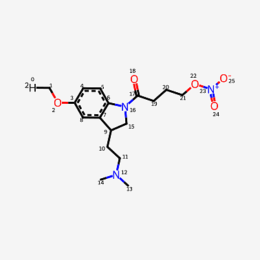 [2H]COc1ccc2c(c1)C(CCN(C)C)CN2C(=O)CCCO[N+](=O)[O-]